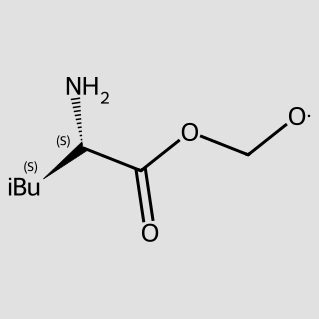 CC[C@H](C)[C@H](N)C(=O)OC[O]